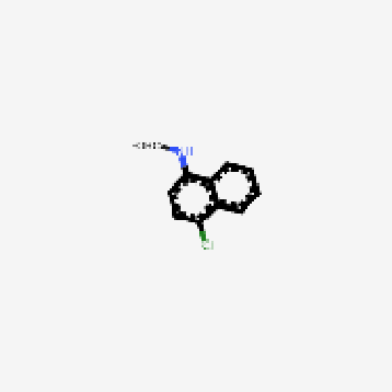 O=[C]Nc1ccc(Cl)c2ccccc12